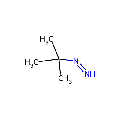 CC(C)(C)N=N